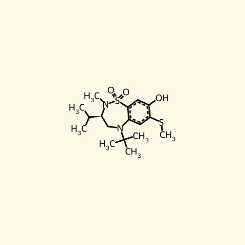 CSc1cc2c(cc1O)S(=O)(=O)N(C)[C@H](C(C)C)CN2C(C)(C)C